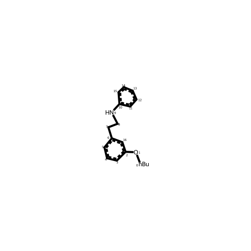 CCCCOc1cccc(CCNc2ccccc2)c1